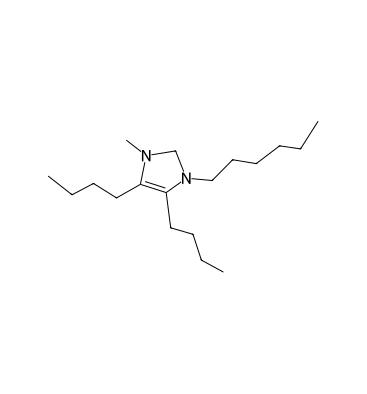 CCCCCCN1CN(C)C(CCCC)=C1CCCC